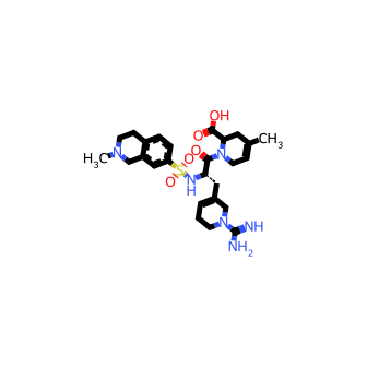 CC1=CCN(C(=O)[C@H](CC2=CCCN(C(=N)N)C2)NS(=O)(=O)c2ccc3c(c2)CN(C)CC3)C(C(=O)O)C1